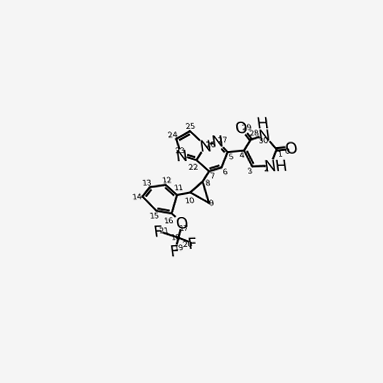 O=c1[nH]cc(-c2cc(C3CC3c3ccccc3OC(F)(F)F)c3nccn3n2)c(=O)[nH]1